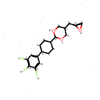 Fc1cc(C2CCC(C3OCC(CC4CO4)CO3)CC2)cc(F)c1F